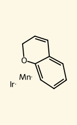 C1=Cc2ccccc2OC1.[Ir].[Mn]